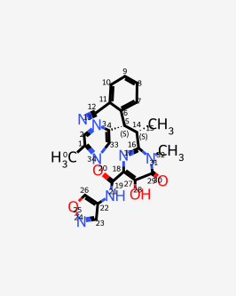 Cc1cnc([C@H](c2ccccc2C#N)[C@H](C)c2nc(C(=O)Nc3cnoc3)c(O)c(=O)n2C)cn1